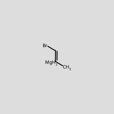 CC=[C]Br.[MgH2]